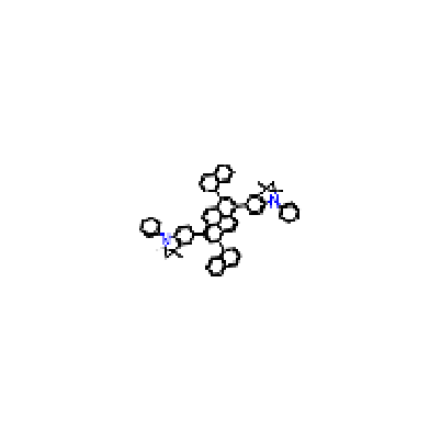 CC12CC1(C)N(c1ccccc1)c1ccc(-c3cc(-c4cccc5ccccc45)c4ccc5c(-c6ccc7c(c6)C6(C)CC6(C)N7c6ccccc6)cc(-c6cccc7ccccc67)c6ccc3c4c56)cc12